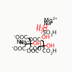 O.O.O=C([O-])CC(O)(CC(=O)[O-])C(=O)O.O=C([O-])CC(O)(CC(=O)[O-])C(=O)[O-].O=S(=O)(O)O.[Mg+2].[Na+].[Na+].[Na+]